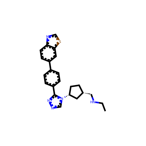 CCNC[C@H]1CC[C@@H](n2cnnc2-c2ccc(-c3ccc4ncsc4c3)cc2)C1